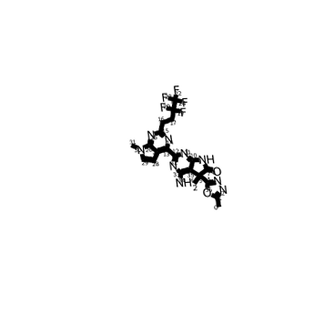 Cc1nnc(C2(C)C(=O)Nc3nc(-c4nc(CCC(F)(F)C(F)(F)F)nc5c4ccn5C)nc(N)c32)o1